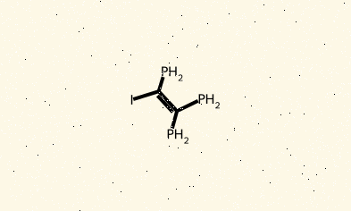 PC(P)=C(P)I